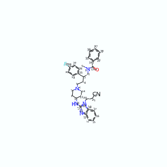 CN(CC(CCN1CCC(Nc2nc3ccccc3n2CCC#N)CC1)c1ccc(F)cc1)C(=O)c1ccccc1